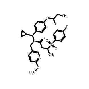 CCC(F)Oc1ccc(C(C2CC2)N(Cc2ccc(OC)nc2)C(=O)CC(C)S(=O)(=O)c2ccc(F)cc2)cc1